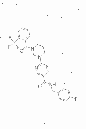 O=C(NCc1ccc(F)cc1)c1ccc(N2CCCN(C(=O)c3ccccc3C(F)(F)F)C2)nc1